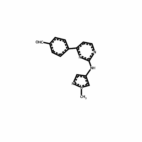 Cn1cc(Nc2nccc(-c3ccc(C=O)cc3)n2)cn1